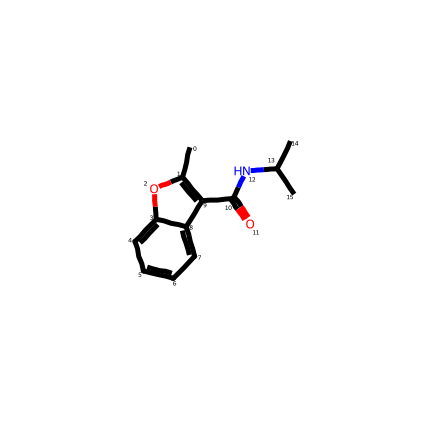 Cc1oc2ccccc2c1C(=O)NC(C)C